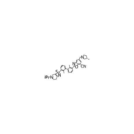 Cc1c(-c2nc3cc(CN4CC[C@@H](C)C4)cc(C#N)c3o2)cccc1-c1cccc(-c2nc3c(s2)CN(C(C)C)CC3)c1C